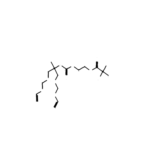 C=COCOCC(C)(COCOC=C)NC(=O)OCCOC(=O)C(C)(C)CC